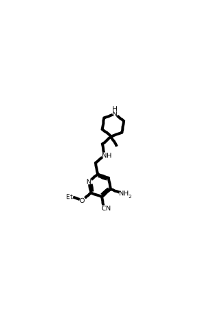 CCOc1nc(CNCC2(C)CCNCC2)cc(N)c1C#N